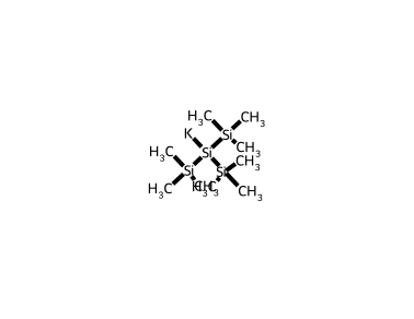 C[Si](C)(C)[Si]([K])([Si](C)(C)C)[Si](C)(C)C